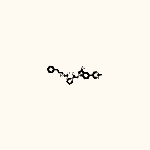 CC(=O)c1cn(CC(=O)N2CCC[C@H]2C(=O)NCCCc2ccccc2)c2ccc(-c3cnc(C)nc3)cc12